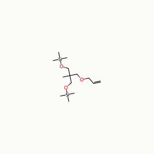 C=CCOCC(C)(CO[Si](C)(C)C)CO[Si](C)(C)C